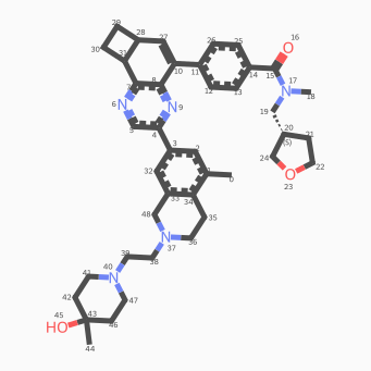 Cc1cc(-c2cnc3c(n2)C(c2ccc(C(=O)N(C)C[C@@H]4CCOC4)cc2)=CC2CCC32)cc2c1CCN(CCN1CCC(C)(O)CC1)C2